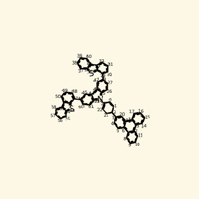 C1=CC(c2ccc3c4ccccc4c4ccccc4c3c2)CC=C1n1c2ccc(-c3cccc4c3sc3ccccc34)cc2c2cc(-c3cccc4c3sc3ccccc34)ccc21